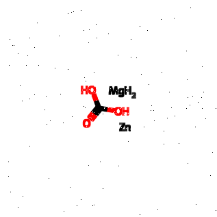 O=C(O)O.[MgH2].[Zn]